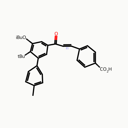 Cc1ccc(-c2cc(C(=O)/C=C/c3ccc(C(=O)O)cc3)cc(OCC(C)C)c2C(C)(C)C)cc1